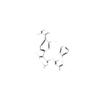 COc1cc2c3c([nH]c2cc1-c1c(C)noc1C)NC(C)N=C3Nc1cc(C)nn1-c1ccncc1